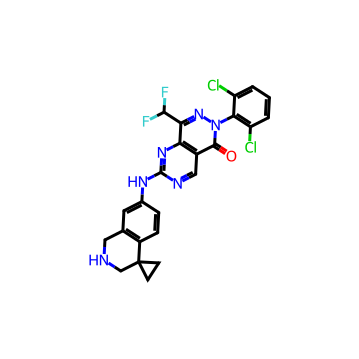 O=c1c2cnc(Nc3ccc4c(c3)CNCC43CC3)nc2c(C(F)F)nn1-c1c(Cl)cccc1Cl